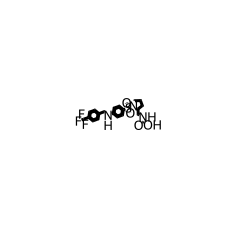 O=C(O)NCC1CCCN1S(=O)(=O)c1ccc(NCc2ccc(C(F)(F)F)cc2)cc1